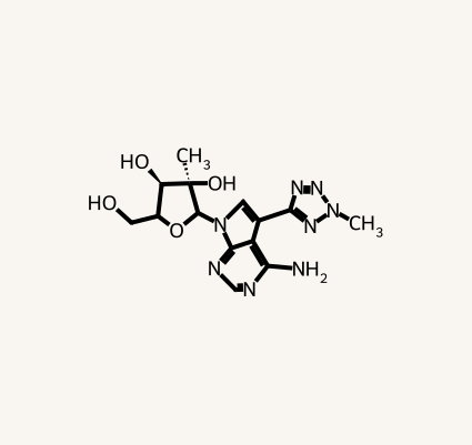 Cn1nnc(-c2cn(C3OC(CO)[C@@H](O)[C@@]3(C)O)c3ncnc(N)c23)n1